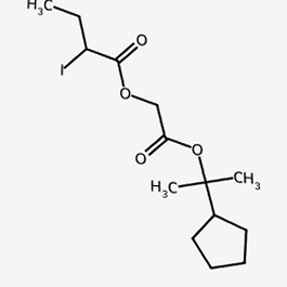 CCC(I)C(=O)OCC(=O)OC(C)(C)C1CCCC1